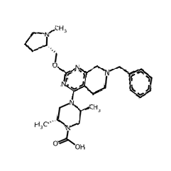 C[C@@H]1CN(c2nc(OC[C@@H]3CCCN3C)nc3c2CCN(Cc2ccccc2)C3)[C@@H](C)CN1C(=O)O